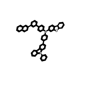 C1=CC2Oc3cc(N(c4ccc(-c5cccc(-c6ccc7ccccc7c6)c5)cc4)c4ccc(-c5ccc6c(c5)c5ccccc5n6-c5ccccc5)cc4)ccc3C2C=C1